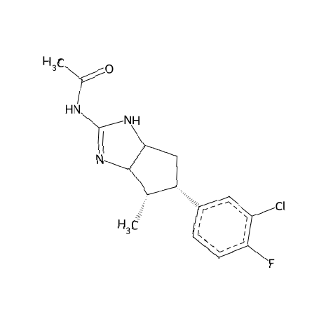 CC(=O)NC1=NC2C(C[C@H](c3ccc(F)c(Cl)c3)[C@@H]2C)N1